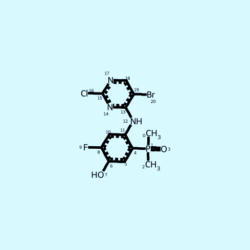 CP(C)(=O)c1cc(O)c(F)cc1Nc1nc(Cl)ncc1Br